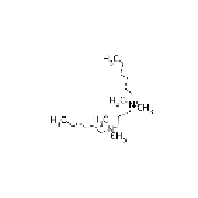 CCCCCC[N+](C)(C)CCC[N+](C)(C)CCCCCC